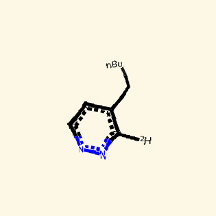 [2H]c1nnccc1CCCCC